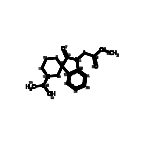 COC(=O)CN1C(=O)C2(CCCN(B(C)O)C2)c2ccccc21